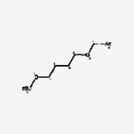 CCCCOCCCCOCC(C)=O